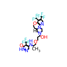 C[C@@H](COCCC(O)N1CCN2c3ncc(C(F)(F)F)c(C(F)F)c3OCC[C@H]2C1)Nc1cn[nH]c(=O)c1C(F)(F)F